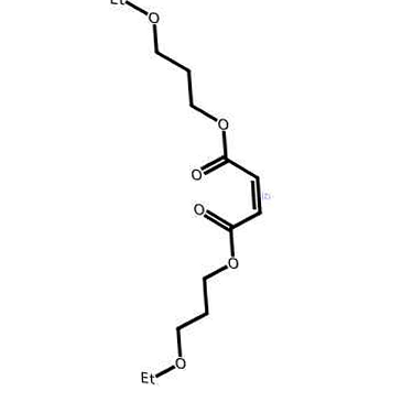 CCOCCCOC(=O)/C=C\C(=O)OCCCOCC